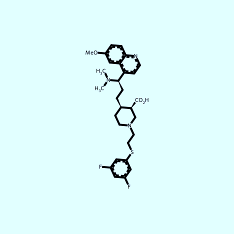 COc1ccc2nccc([C@@H](CC[C@@H]3CCN(CCSc4cc(F)cc(F)c4)C[C@@H]3C(=O)O)N(C)C)c2c1